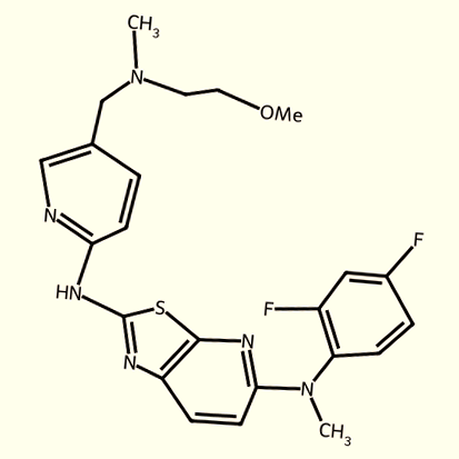 COCCN(C)Cc1ccc(Nc2nc3ccc(N(C)c4ccc(F)cc4F)nc3s2)nc1